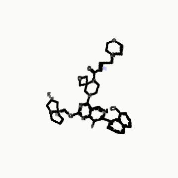 O=C(/C=C/CN1CCOCC1)N1CCN(c2nc(OC[C@@]34CCCN3C[C@H](F)C4)nc3c(F)c(-c4cccc5cccc(Cl)c45)ncc23)CC12COC2